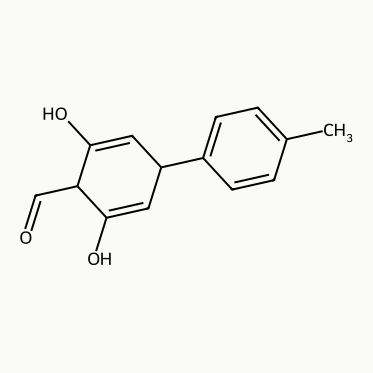 Cc1ccc(C2C=C(O)C(C=O)C(O)=C2)cc1